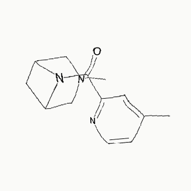 Cc1ccnc(C(=O)N2C3CC2CN(C)C3)c1